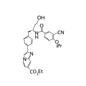 CCOC(=O)c1ccn2cc(-c3ccc(C[C@@H](CCO)NC(=O)c4ccc(OC(C)C)c(C#N)c4)cc3)nc2c1